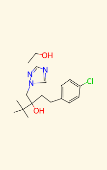 CC(C)(C)C(O)(CCc1ccc(Cl)cc1)Cn1cncn1.CCO